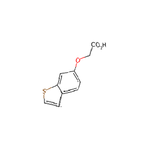 O=C(O)COc1ccc2[c]csc2c1